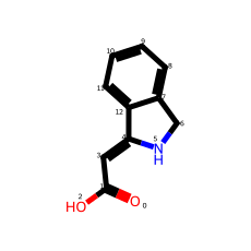 O=C(O)/C=C1\NCc2ccccc21